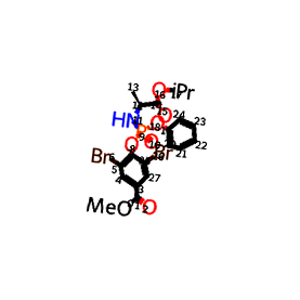 COC(=O)c1cc(Br)c(OP(=O)(N[C@@H](C)C(=O)OC(C)C)Oc2ccccc2)c(Br)c1